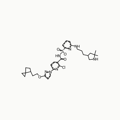 CC1(C)CC(CCCNc2cccc(S(=O)(=O)NC(=O)c3ccc(-n4ccc(OCCC5CCC56CC6)n4)nc3Cl)n2)CN1